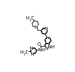 Cc1ncc(NC(=O)c2n[nH]c3ccc(-c4cncc(CN5CCC(C)CC5)c4)cc23)cn1